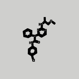 COCC(C)Nc1nccc(N(C(=O)Nc2ccc(Cl)cc2)c2ccccc2)n1